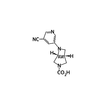 N#Cc1cncc(N2C[C@@H]3CN(C(=O)O)C[C@@H]32)c1